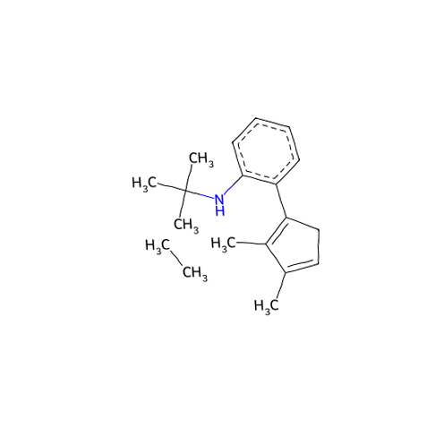 CC.CC1=CCC(c2ccccc2NC(C)(C)C)=C1C